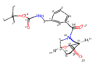 CC(C)(C)OC(=O)NCc1cccc(C(=O)N2C[C@@H]3CC[C@H]2C(=O)O3)c1